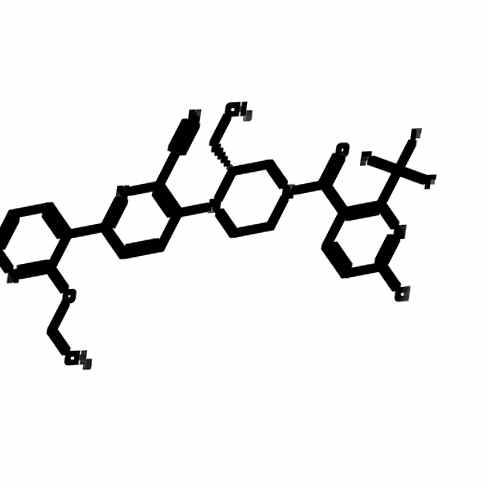 CCOc1ncccc1-c1ccc(N2CCN(C(=O)c3ccc(Cl)nc3C(F)(F)F)C[C@H]2CC)c(C#N)n1